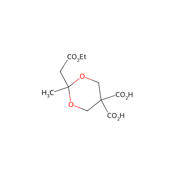 CCOC(=O)CC1(C)OCC(C(=O)O)(C(=O)O)CO1